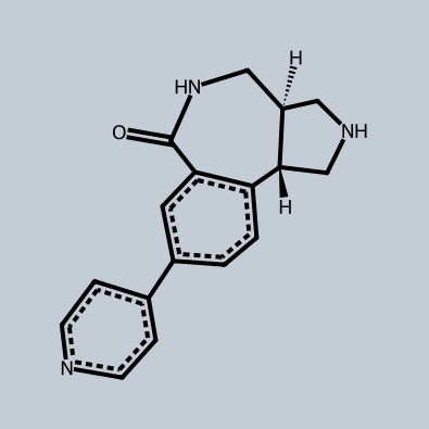 O=C1NC[C@H]2CNC[C@@H]2c2ccc(-c3ccncc3)cc21